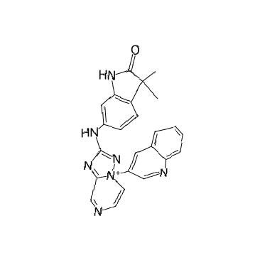 CC1(C)C(=O)Nc2cc(NC3=N[N+]4(c5cnc6ccccc6c5)C=CN=CC4=N3)ccc21